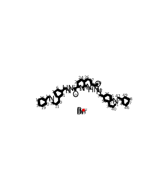 O=C(NN=Cc1ccc2c(ccc[n+]2Cc2ccccc2)c1)c1ccc2ccc(C(=O)NN=Cc3ccc4c(ccc[n+]4Cc4ccccc4)c3)nc2n1.[Br-].[Br-]